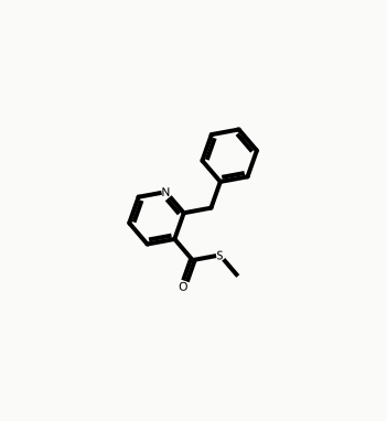 CSC(=O)c1cccnc1Cc1ccccc1